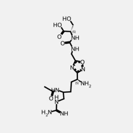 CC(=O)NC(CC[C@H](N)c1noc(CNC(=O)N[C@@H](CO)C(=O)O)n1)CNC(=N)N